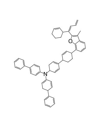 C=C/C=C(\c1oc2c(C3C=CC(C4=CCC(N(C5=CCC(c6ccccc6)C=C5)c5ccc(-c6ccccc6)cc5)C=C4)CC3)cccc2c1C)C1C=CCCC1